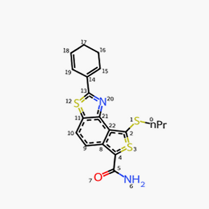 CCCSc1sc(C(N)=O)c2ccc3sc(C4=CCCC=C4)nc3c12